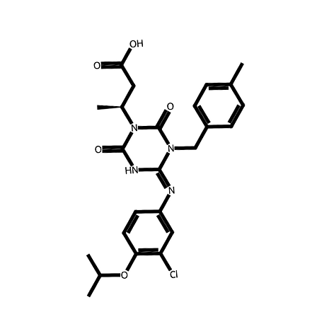 Cc1ccc(Cn2c(=O)n([C@@H](C)CC(=O)O)c(=O)[nH]/c2=N\c2ccc(OC(C)C)c(Cl)c2)cc1